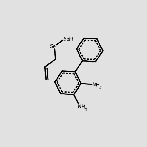 C=CC[Se][SeH].Nc1cccc(-c2ccccc2)c1N